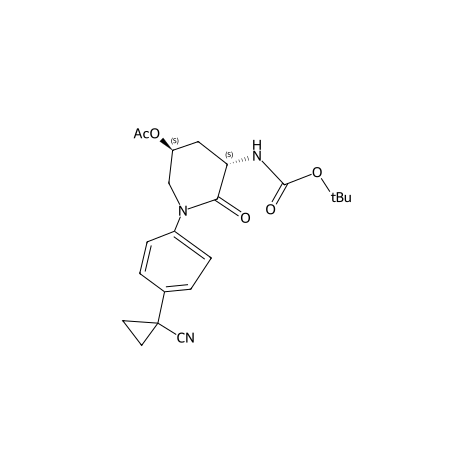 CC(=O)O[C@H]1C[C@H](NC(=O)OC(C)(C)C)C(=O)N(c2ccc(C3(C#N)CC3)cc2)C1